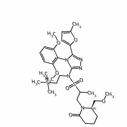 COC[C@H]1CCCC(=O)N1CC(C)S(=O)(=O)N(CC[Si](C)(C)C)c1nnc(-c2ccc(C)o2)n1-c1c(OC)cccc1OC